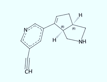 C#Cc1cncc(C2=CC[C@H]3CNC[C@@H]23)c1